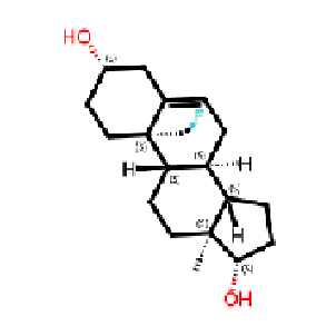 C[C@]12CC[C@H]3[C@@H](CC=C4C[C@@H](O)CC[C@@]43CF)[C@@H]1CC[C@@H]2O